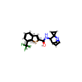 O=C(NC1C2CCN(C2)C12CC2)c1cc2cccc(C(F)(F)F)c2s1